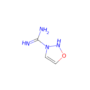 N=C(N)N1C=CON1